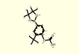 CC(C)(C)c1cc(B2OC(C)(C)C(C)(C)O2)ccc1OC(=O)O